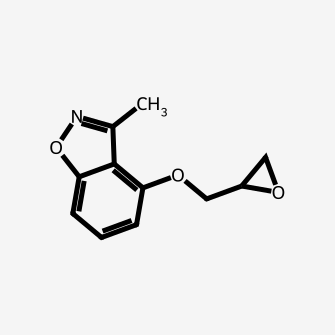 Cc1noc2cccc(OCC3CO3)c12